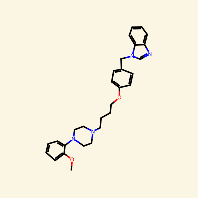 COc1ccccc1N1CCN(CCCCOc2ccc(Cn3cnc4ccccc43)cc2)CC1